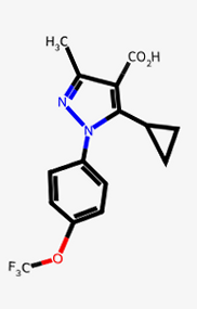 Cc1nn(-c2ccc(OC(F)(F)F)cc2)c(C2CC2)c1C(=O)O